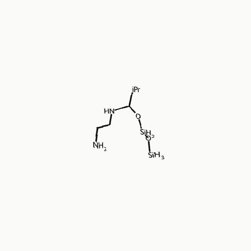 CC(C)C(NCCN)O[SiH2]O[SiH3]